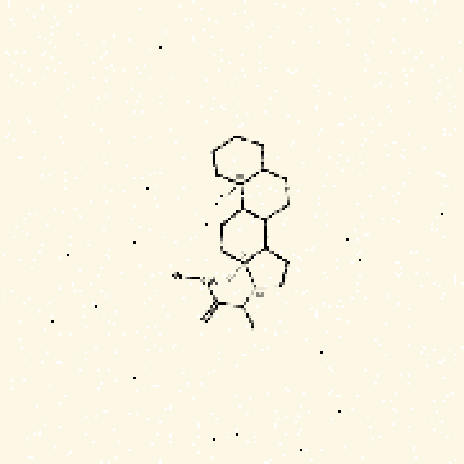 C=C(NC(C)C)C(C)[C@H]1CCC2C3CCC4CCCC[C@]4(C)C3CC[C@@]21C